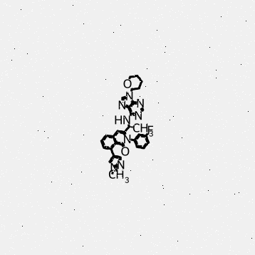 C[C@H](Nc1ncnc2c1ncn2C1CCCCO1)c1cc2cccc(-c3cnn(C)c3)c2c(=O)n1-c1cccc(F)c1